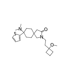 COC1(CCN2CC3(CCC(c4cccs4)(N(C)C)CC3)CC2=O)CCC1